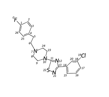 Fc1ccc(CCN2CCN(c3nc(-c4cccc(Cl)c4)ns3)CC2)cc1